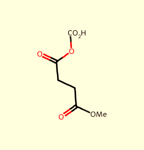 COC(=O)CCC(=O)OC(=O)O